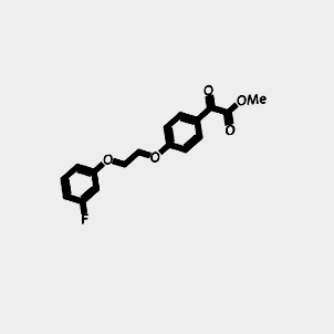 COC(=O)C(=O)c1ccc(OCCOc2cccc(F)c2)cc1